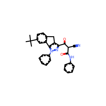 CC(C)(C)c1ccc2c(c1)-c1c(c(C(=O)C(C#N)C(=O)Nc3ccccc3)nn1-c1ccccc1)C2